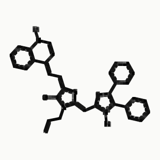 C=CCn1c(=O)/c(=C\C=C2/C=CN(CC)c3ccccc32)s/c1=C\c1sc(-c2ccccc2)c(-c2ccccc2)[n+]1CC